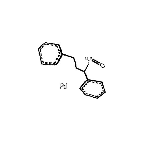 O=[PH2]C(CCc1ccccc1)c1ccccc1.[Pd]